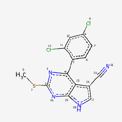 CSc1nc(-c2ccc(Cl)cc2Cl)c2c(C#N)c[nH]c2n1